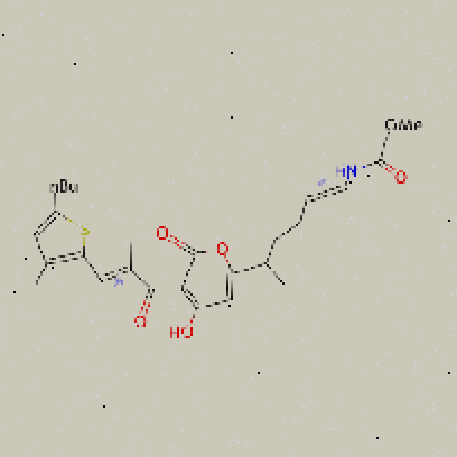 CCCCc1cc(C)c(/C=C(\C)C(=O)c2c(O)cc(C(C)CC/C=C/NC(=O)OC)oc2=O)s1